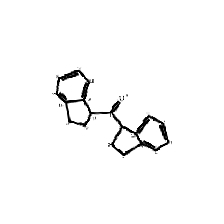 O=C(C1CCc2ccccc21)C1CCc2ccccc21